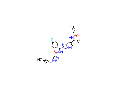 N#CC12CC(Cn3cc(C(=O)N[C@H](c4cn5ncc(C(NC(=O)CCC(F)(F)F)C6CC6)cc5n4)C4CCC(F)(F)CC4)nn3)(C1)C2